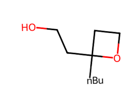 CCCCC1(CCO)CCO1